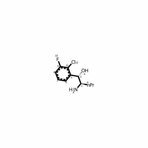 CCC[C@@H](N)[C@@H](O)c1cccc(F)c1Cl